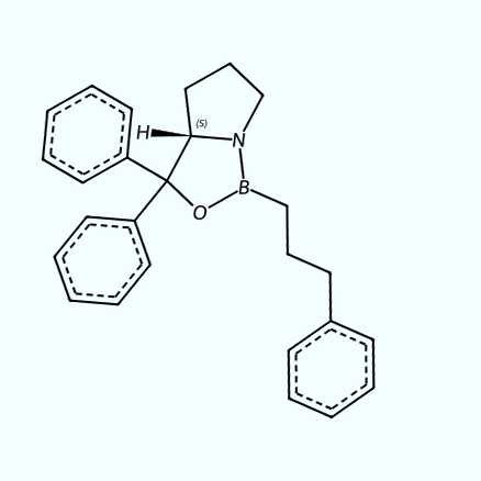 c1ccc(CCCB2OC(c3ccccc3)(c3ccccc3)[C@@H]3CCCN23)cc1